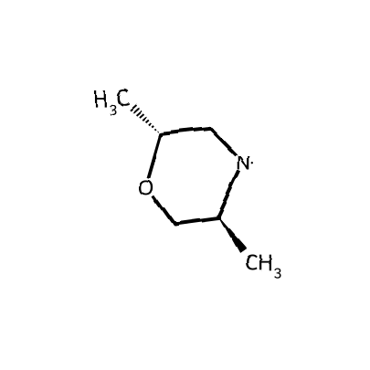 C[C@@H]1C[N][C@@H](C)CO1